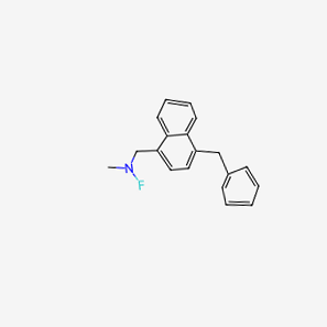 CN(F)Cc1ccc(Cc2ccccc2)c2ccccc12